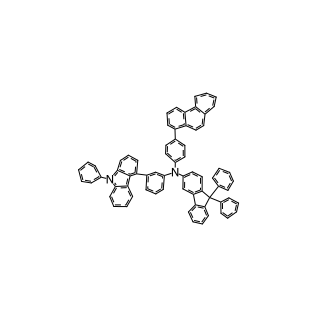 c1ccc(-n2c3ccccc3c3c(-c4cccc(N(c5ccc(-c6cccc7c6ccc6ccccc67)cc5)c5ccc6c(c5)-c5ccccc5C6(c5ccccc5)c5ccccc5)c4)cccc32)cc1